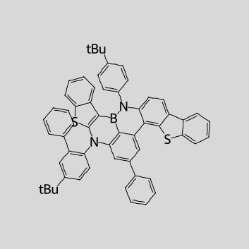 CC(C)(C)c1ccc(N2B3c4c(cc(-c5ccccc5)cc4N(c4ccc(C(C)(C)C)cc4-c4ccccc4)c4sc5ccccc5c43)-c3c2ccc2c3sc3ccccc32)cc1